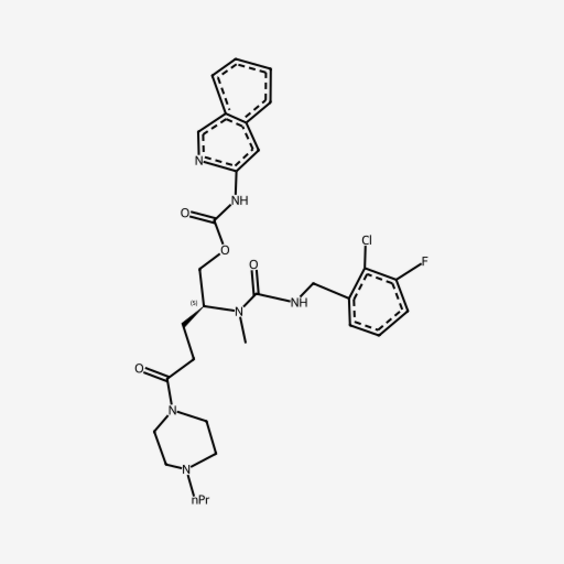 CCCN1CCN(C(=O)CC[C@@H](COC(=O)Nc2cc3ccccc3cn2)N(C)C(=O)NCc2cccc(F)c2Cl)CC1